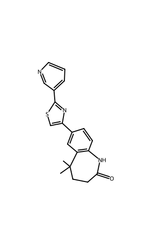 CC1(C)CCC(=O)Nc2ccc(-c3csc(-c4cccnc4)n3)cc21